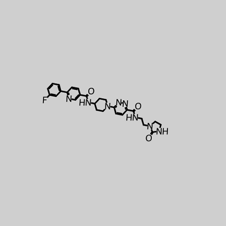 O=C(NC1CCN(c2ccc(C(=O)NCCN3CCNC3=O)nn2)CC1)c1ccc(-c2cccc(F)c2)nc1